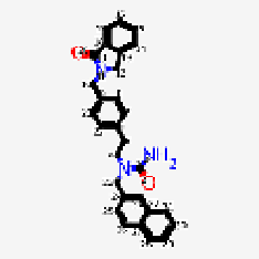 NC(=O)N(CCc1ccc(CN2Cc3ccccc3C2=O)cc1)Cc1ccc2ccccc2c1